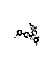 CCCS(=O)(=O)N1CCN(c2ccc(F)cc2C)C(C(=O)N2CCC(c3cccc(Cl)c3)CC2)C1